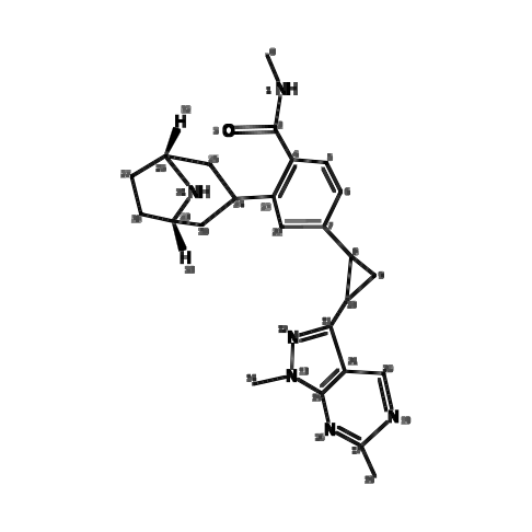 CNC(=O)c1ccc(C2CC2c2nn(C)c3nc(C)ncc23)cc1C1C[C@H]2CC[C@@H](C1)N2